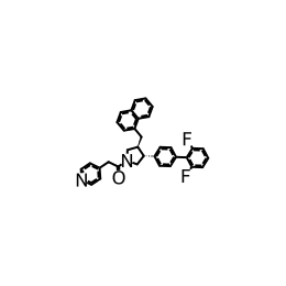 O=C(Cc1ccncc1)N1C[C@@H](Cc2cccc3ccccc23)[C@H](c2ccc(-c3c(F)cccc3F)cc2)C1